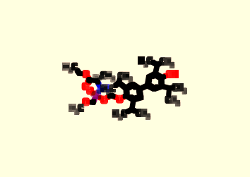 CCOC(=O)[C@H](C)NP(=O)(COC)OCOc1c(C(C)C)cc(-c2cc(C(C)C)c(O)c(C(C)C)c2)cc1C(C)C